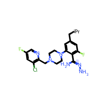 CC(C)Cc1cc(F)c(/C(N)=N/N)c(N2CCN(Cc3ncc(F)cc3Cl)CC2)c1